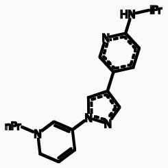 CCCN1C=C(n2cc(-c3ccc(NC(C)C)nc3)cn2)C=CC1